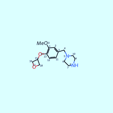 COc1cc(CN2CCNCC2)ccc1OC1COC1